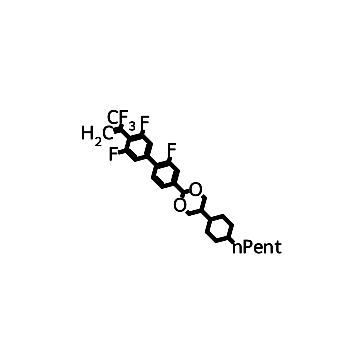 C=C(c1c(F)cc(-c2ccc(C3OCC(C4CCC(CCCCC)CC4)CO3)cc2F)cc1F)C(F)(F)F